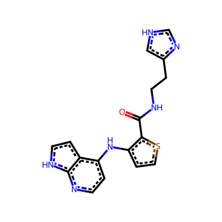 O=C(NCCc1c[nH]cn1)c1sccc1Nc1ccnc2[nH]ccc12